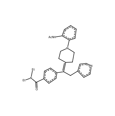 CCN(CC)C(=O)c1ccc(C(Cc2ccncc2)=C2CCN(c3ccccc3NC(C)=O)CC2)cc1